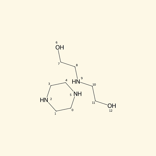 C1CNCCN1.OCCNCCO